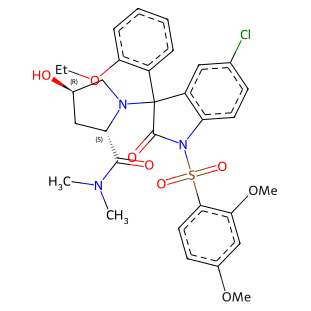 CCOc1ccccc1C1(N2C[C@H](O)C[C@H]2C(=O)N(C)C)C(=O)N(S(=O)(=O)c2ccc(OC)cc2OC)c2ccc(Cl)cc21